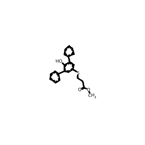 COC(=O)CCSc1cc(-c2ccccc2)c(O)c(-c2ccccc2)c1